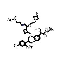 CCCc1cc(Cl)ccc1C1COc2ccc(C(O)C(=O)NSN(C)C)cc2N(CC2CCC2C(/C=C/CCN(C)C(C)=O)OCCN2CC(F)C2)C1